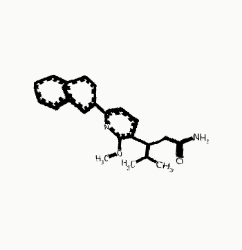 COc1nc(-c2ccc3ccccc3c2)ccc1C(CC(N)=O)C(C)C